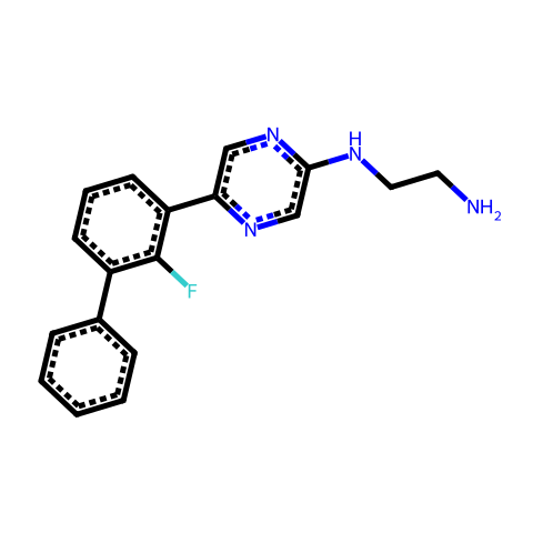 NCCNc1cnc(-c2cccc(-c3ccccc3)c2F)cn1